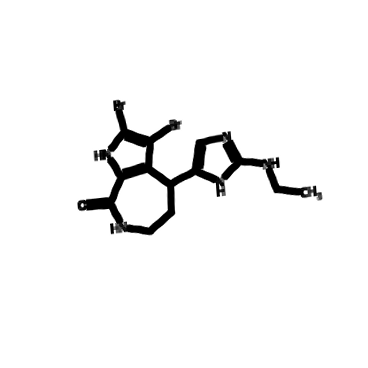 CCNc1ncc(C2CCNC(=O)c3[nH]c(Br)c(Br)c32)[nH]1